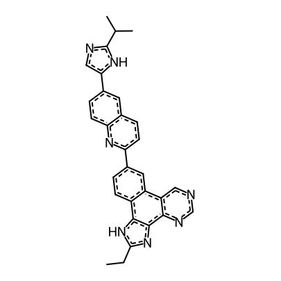 CCc1nc2c3ncncc3c3cc(-c4ccc5cc(-c6cnc(C(C)C)[nH]6)ccc5n4)ccc3c2[nH]1